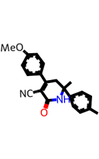 COc1ccc(C2=C(C#N)C(=O)NC(C)(c3ccc(C)cc3)C2)cc1